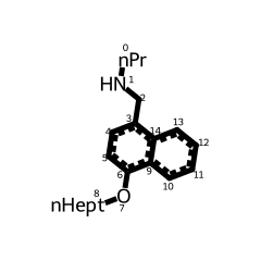 [CH2]CCNCc1ccc(OCCCCCCC)c2ccccc12